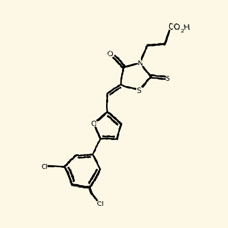 O=C(O)CCN1C(=O)C(=Cc2ccc(-c3cc(Cl)cc(Cl)c3)o2)SC1=S